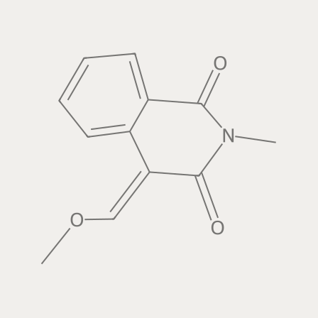 CO/C=C1/C(=O)N(C)C(=O)c2ccccc21